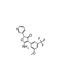 COc1cc(C2=C(N)OC(c3cccnc3)C2=O)cc(C(F)(F)F)c1